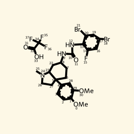 COc1ccc(C23CCC(NC(=O)Nc4c(F)cc(Br)cc4Br)CC2N(C)CC3)cc1OC.O=C(O)C(F)(F)F